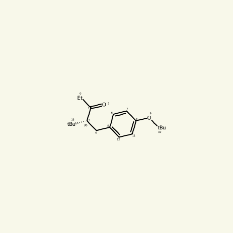 CCC(=O)[C@H](Cc1ccc(OC(C)(C)C)cc1)C(C)(C)C